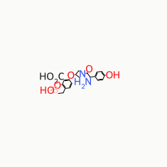 NC(C(=O)N1CC(Oc2ccc3c(c2C(=O)O)OB(O)CC3)C1)c1ccc(O)cc1